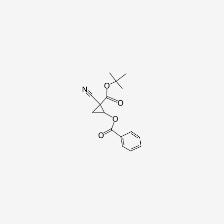 CC(C)(C)OC(=O)C1(C#N)CC1OC(=O)c1ccccc1